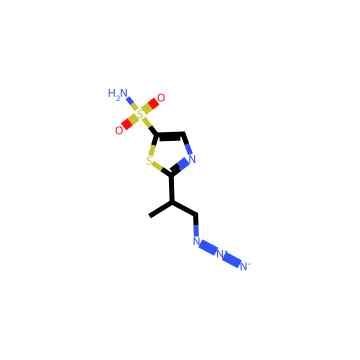 CC(CN=[N+]=[N-])c1ncc(S(N)(=O)=O)s1